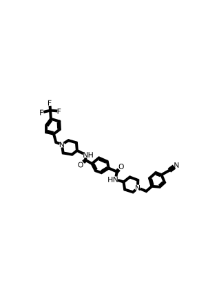 N#Cc1ccc(CN2CCC(NC(=O)c3ccc(C(=O)NC4CCN(Cc5ccc(C(F)(F)F)cc5)CC4)cc3)CC2)cc1